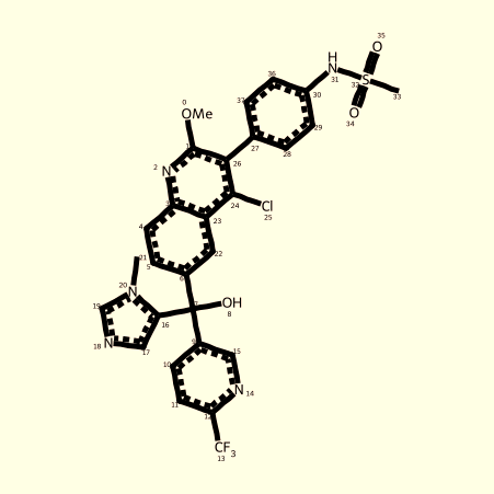 COc1nc2ccc(C(O)(c3ccc(C(F)(F)F)nc3)c3cncn3C)cc2c(Cl)c1-c1ccc(NS(C)(=O)=O)cc1